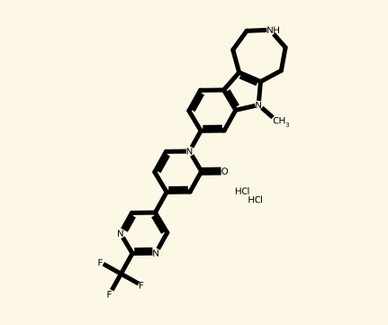 Cl.Cl.Cn1c2c(c3ccc(-n4ccc(-c5cnc(C(F)(F)F)nc5)cc4=O)cc31)CCNCC2